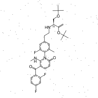 C=C(OC(C)(C)C)[C@H](COC(C)(C)C)NCCc1cc(C)c(-n2c(NC)c(C(=O)c3ccc(F)cc3F)ccc2=O)c(F)c1